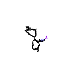 Cc1ccc(-c2ccc(C)cc2/C=C/I)cc1